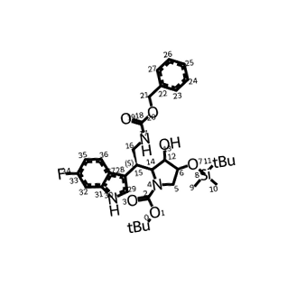 CC(C)(C)OC(=O)N1CC(O[Si](C)(C)C(C)(C)C)C(O)C1[C@H](CNC(=O)OCc1ccccc1)c1c[nH]c2cc(F)ccc12